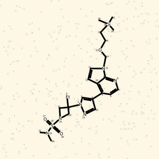 CCC1(n2cc(-c3ccnc4c3ccn4COCC[Si](C)(C)C)cn2)CN(S(=O)(=O)N(C)C)C1